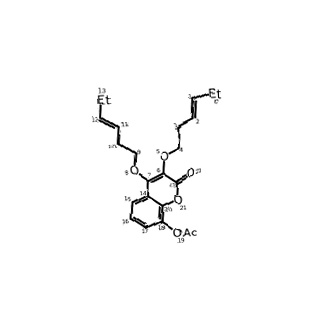 CCC=CCCOc1c(OCCC=CCC)c2cccc(OC(C)=O)c2oc1=O